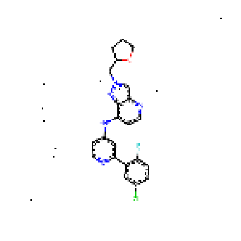 Fc1ccc(Cl)cc1-c1cc(Nc2ccnc3cn(CC4CCCO4)nc23)ccn1